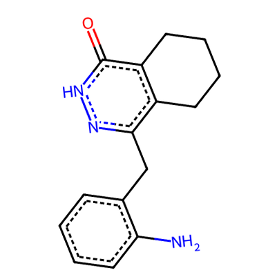 Nc1ccccc1Cc1n[nH]c(=O)c2c1CCCC2